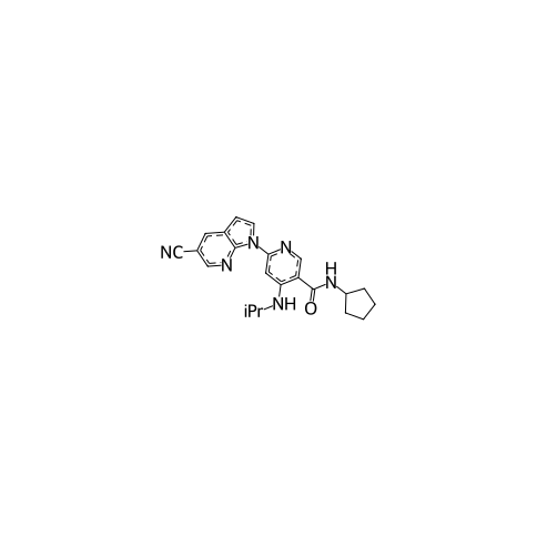 CC(C)Nc1cc(-n2ccc3cc(C#N)cnc32)ncc1C(=O)NC1CCCC1